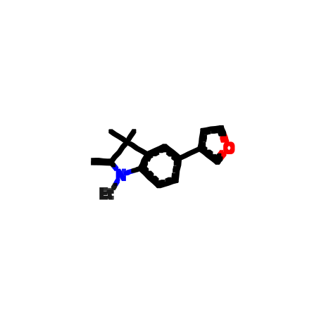 C=C1N(CC)c2ccc(-c3ccoc3)cc2C1(C)C